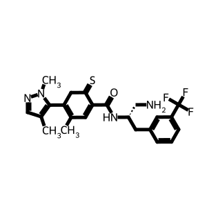 CC1=C(c2c(C)cnn2C)CC(=S)C(C(=O)N[C@H](CN)Cc2cccc(C(F)(F)F)c2)=C1